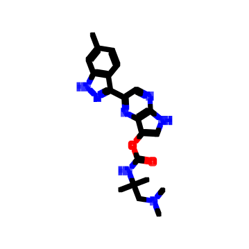 Cc1ccc2c(-c3cnc4[nH]cc(OC(=O)NC(C)(C)CN(C)C)c4n3)n[nH]c2c1